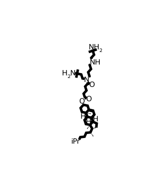 CC(C)CCC[C@@H](C)[C@H]1CC[C@H]2[C@@H]3CC=C4C[C@@H](OC(=O)CCCC(=O)N(CCCCNCCC(C)(C)N)CCC(C)(C)N)CC[C@]4(C)[C@H]3CC[C@]12C